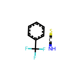 FC(F)(F)c1ccccc1.N=C=S